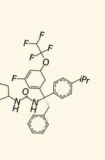 CC(C)c1ccc([C@@](Cc2ccccc2)(NC(=O)NC2CCCC2)C2=CC(F)=CC(OC(F)(F)C(F)F)C2)cc1